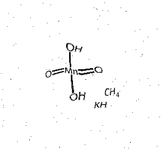 C.[KH].[O]=[Mn](=[O])([OH])[OH]